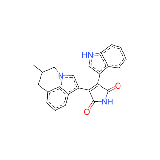 CC1Cc2cccc3c(C4=C(c5c[nH]c6ccccc56)C(=O)NC4=O)cn(c23)C1